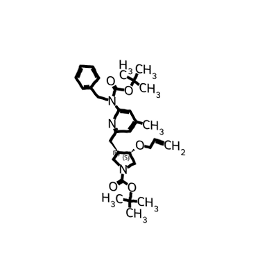 C=CCO[C@@H]1CN(C(=O)OC(C)(C)C)C[C@H]1Cc1cc(C)cc(N(Cc2ccccc2)C(=O)OC(C)(C)C)n1